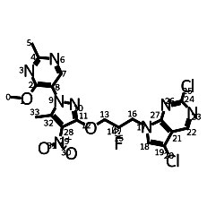 COc1nc(C)ncc1-n1nc(OC[C@@H](F)Cn2cc(Cl)c3cnc(Cl)nc32)c([N+](=O)[O-])c1C